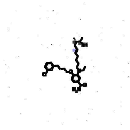 CCN(CCCC/C=C/C[C@H](C)[C@@H](C)S)c1cc(C(N)=O)ccc1OCCCCc1cccc(Cl)c1